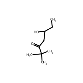 CCC(O)CC(=O)C(C)(C)C